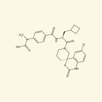 CN(C(=O)O)c1ccc(C(=O)N[C@@H](CC2CCC2)C(=O)N2CCC[C@@]3(C2)OC(=O)Nc2ccc(Cl)cc23)cc1